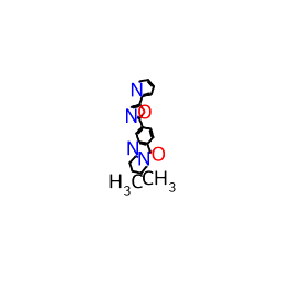 CC1(C)CCc2nc3cc(-c4ncc(-c5ccccn5)o4)ccc3c(=O)n2C1